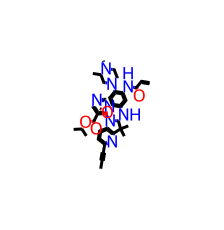 C=CC(=O)Nc1cc(NC2N(c3ncncc3C(=O)OC(C)C)c3ccc(C#CC)nc3C2(C)C)c(OC)cc1N1CCN(C)C(C)C1